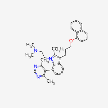 Cc1ncnc(C)c1-c1cccc2c(CCCOc3cccc4ccccc34)c(C(=O)O)n(CCN(C)C)c12